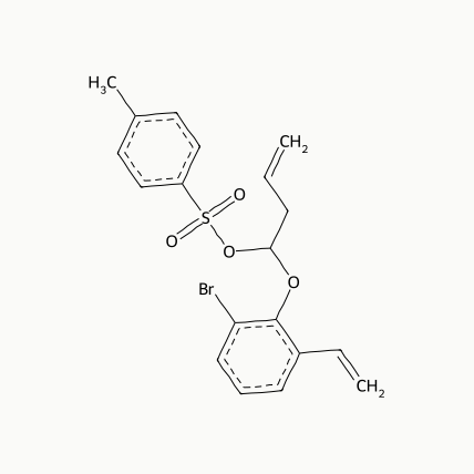 C=CCC(Oc1c(Br)cccc1C=C)OS(=O)(=O)c1ccc(C)cc1